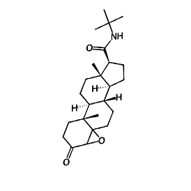 CC(C)(C)NC(=O)[C@H]1CC[C@H]2[C@@H]3CCC45OC4C(=O)CC[C@]5(C)[C@H]3CC[C@]12C